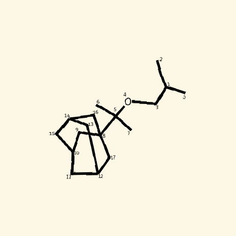 CC(C)COC(C)(C)C12CC3CC(CC(C3)C1)C2